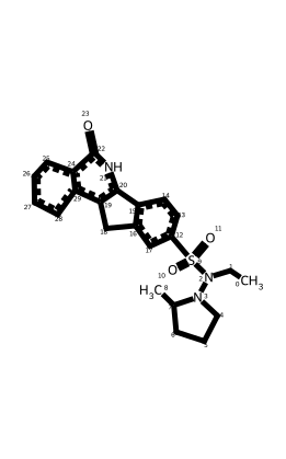 CCN(N1CCCC1C)S(=O)(=O)c1ccc2c(c1)Cc1c-2[nH]c(=O)c2ccccc12